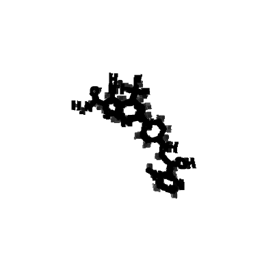 Cn1ccnc1C(O)CNC1CCN(c2cc(C(F)(F)F)c3c(N)c(C(N)=O)sc3n2)CC1